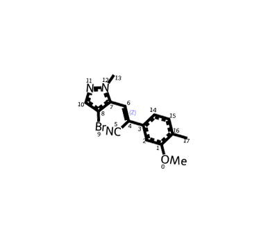 COc1cc(/C(C#N)=C/c2c(Br)cnn2C)ccc1C